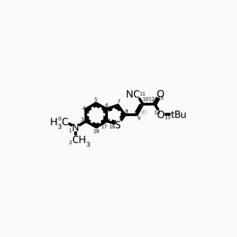 CN(C)c1ccc2cc(/C=C(\C#N)C(=O)OC(C)(C)C)sc2c1